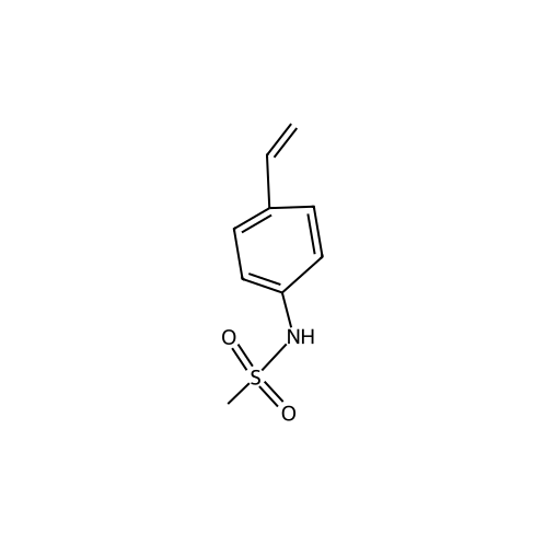 C=Cc1ccc(NS(C)(=O)=O)cc1